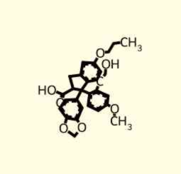 CCCOc1ccc2c(c1)CC(C(=O)O)C2(c1ccc2c(c1)OCO2)c1ccc(OC)cc1CCO